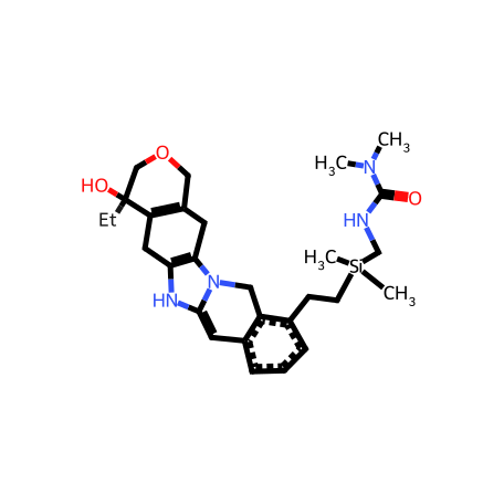 CCC1(O)COCC2=C1CC1=C(C2)N2Cc3c(cccc3CC[Si](C)(C)CNC(=O)N(C)C)C=C2N1